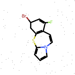 FC1=CC(Br)CC2=C1C=Cn1cccc1S2